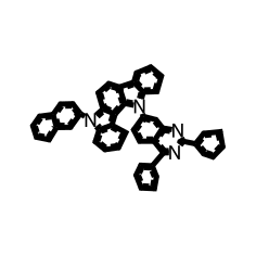 c1ccc(-c2nc(-c3ccccc3)c3ccc(-n4c5ccccc5c5ccc6c(c7ccccc7n6-c6ccc7ccccc7c6)c54)cc3n2)cc1